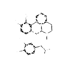 CN1CCc2cccc3c2[C@H]1Cc1ccc(O)c(O)c1-3.N[C@@H](Cc1ccc(O)c(O)c1)C(=O)O